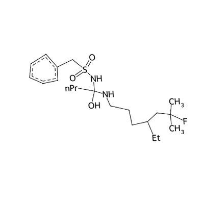 CCCC(O)(NCCCC(CC)CC(C)(C)F)NS(=O)(=O)Cc1ccccc1